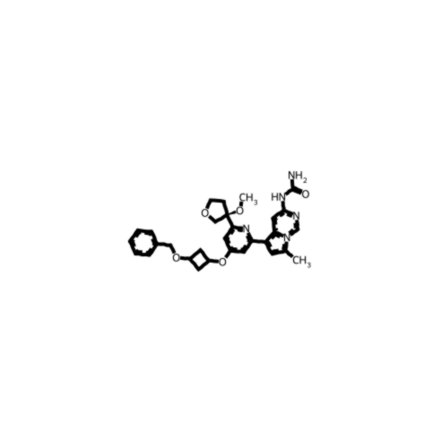 CO[C@]1(c2cc(OC3CC(OCc4ccccc4)C3)cc(-c3cc(C)n4cnc(NC(N)=O)cc34)n2)CCOC1